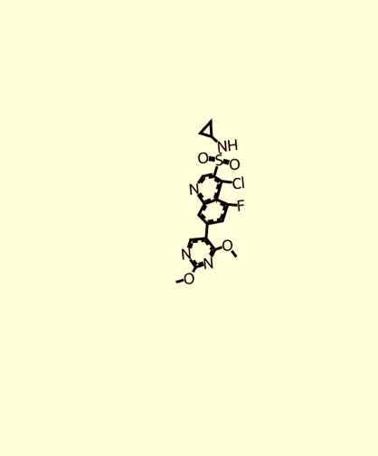 COc1ncc(-c2cc(F)c3c(Cl)c(S(=O)(=O)NC4CC4)cnc3c2)c(OC)n1